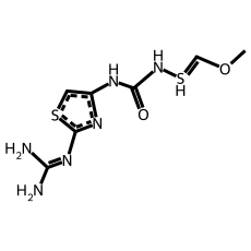 COC=[SH]NC(=O)Nc1csc(N=C(N)N)n1